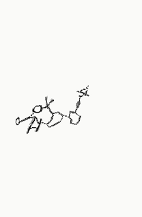 CC1(C)OC(=O)Nc2ccc(-c3cccc(C#C[Si](C)(C)C)c3)cc21